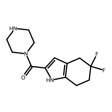 O=C(c1cc2c([nH]1)CCC(F)(F)C2)N1CCNCC1